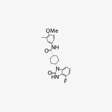 COc1ccc(NC(=O)[C@H]2CC[C@@H](n3c(=O)[nH]c4c(F)cccc43)CC2)cc1C